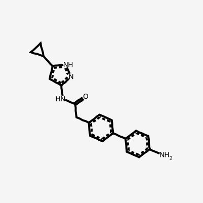 Nc1ccc(-c2ccc(CC(=O)Nc3cc(C4CC4)[nH]n3)cc2)cc1